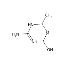 CC(NC(=N)N)OCO